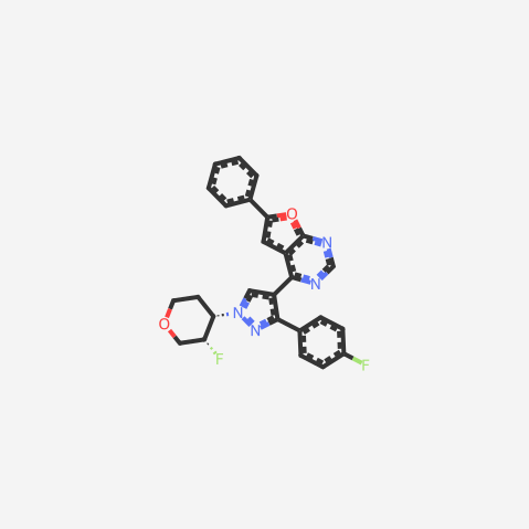 Fc1ccc(-c2nn([C@H]3CCOC[C@H]3F)cc2-c2ncnc3oc(-c4ccccc4)cc23)cc1